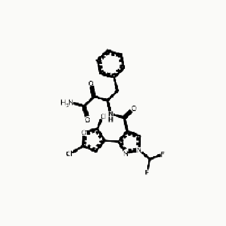 NC(=O)C(=O)C(Cc1ccccc1)NC(=O)c1cn(C(F)F)nc1-c1cc(Cl)oc1Cl